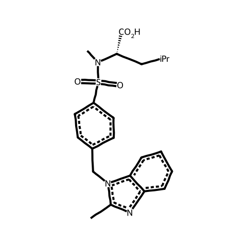 Cc1nc2ccccc2n1Cc1ccc(S(=O)(=O)N(C)[C@@H](CC(C)C)C(=O)O)cc1